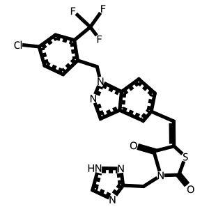 O=C1SC(=Cc2ccc3c(cnn3Cc3ccc(Cl)cc3C(F)(F)F)c2)C(=O)N1Cc1nc[nH]n1